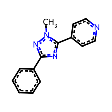 Cn1nc(-c2ccccc2)nc1-c1ccncc1